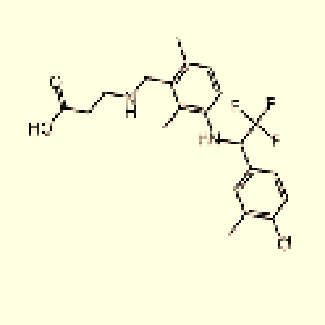 Cc1cc(C(Nc2ccc(C)c(CNCCC(=O)O)c2C)C(F)(F)F)ccc1Cl